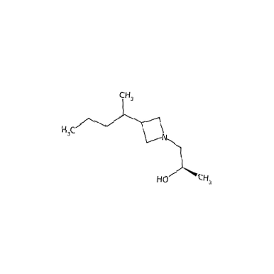 CCCC(C)C1CN(C[C@@H](C)O)C1